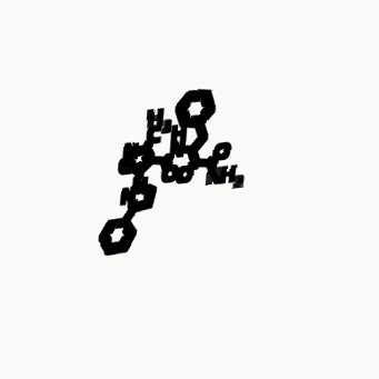 Cc1noc(-n2ccc(-c3ccccc3)n2)c1C(=O)NC(Cc1ccccc1)C(=O)C(N)=O